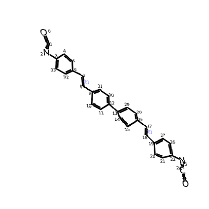 O=C=Nc1ccc(/C=C/c2ccc(-c3ccc(/C=C/c4ccc(N=C=O)cc4)cc3)cc2)cc1